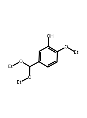 CCOc1ccc(C(OCC)OCC)cc1O